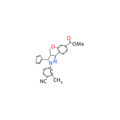 COC(=O)c1ccc2c(c1)OCC1C2=NN(c2ccc(C#N)c(C)c2)C1C1=C=CC=C1